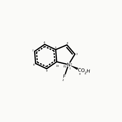 O=C(O)[N@+]1(F)C=Cc2ccccc21